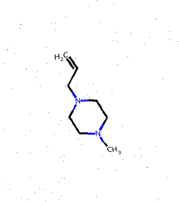 C=C[CH]N1CCN(C)CC1